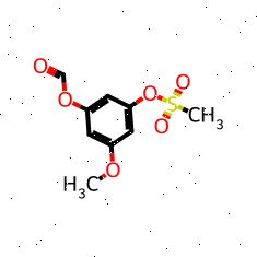 COc1cc(OC=O)cc(OS(C)(=O)=O)c1